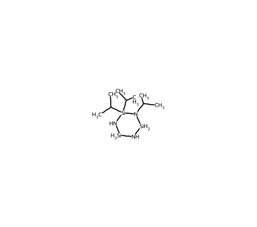 CC(C)N1[SiH2]N[SiH2]N[Si]1(C(C)C)C(C)C